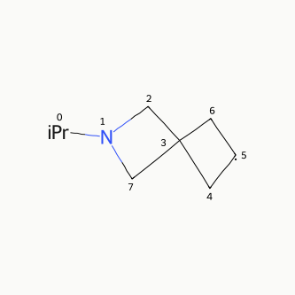 CC(C)N1CC2(C[CH]C2)C1